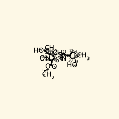 C=CCOC(=O)C1=C(Sc2nc(C3=CCN(C)[C@@H](CO)C3)cs2)[C@H](C)[C@@H]2[C@@H]([C@@H](C)O)C(=O)N12